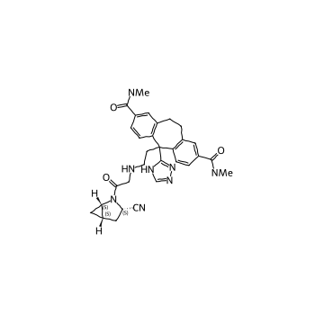 CNC(=O)c1ccc2c(c1)CCc1cc(C(=O)NC)ccc1C2(CCNCC(=O)N1[C@H](C#N)C[C@@H]2C[C@@H]21)c1nnc[nH]1